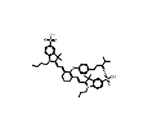 CCCCN1/C(=C/C=C2\CCCC(/C=C/C3=[N+](CCC)c4ccc(S(=O)(=O)O)cc4C3(C)C)=C2Oc2ccc(CCC(=O)C(C)C)cc2)C(C)(C)c2cc(S(=O)(=O)O)ccc21